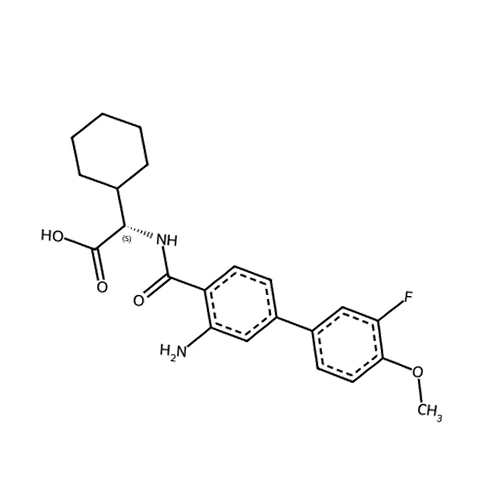 COc1ccc(-c2ccc(C(=O)N[C@H](C(=O)O)C3CCCCC3)c(N)c2)cc1F